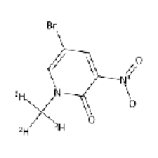 [2H]C([2H])([2H])n1cc(Br)cc([N+](=O)[O-])c1=O